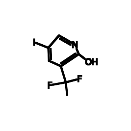 CC(F)(F)c1cc(I)cnc1O